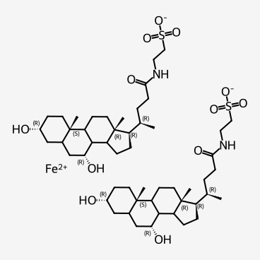 C[C@H](CCC(=O)NCCS(=O)(=O)[O-])[C@H]1CCC2C3C(CC[C@@]21C)[C@@]1(C)CC[C@@H](O)CC1C[C@H]3O.C[C@H](CCC(=O)NCCS(=O)(=O)[O-])[C@H]1CCC2C3C(CC[C@@]21C)[C@@]1(C)CC[C@@H](O)CC1C[C@H]3O.[Fe+2]